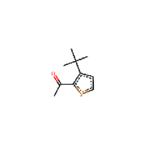 CC(=O)c1sccc1C(C)(C)C